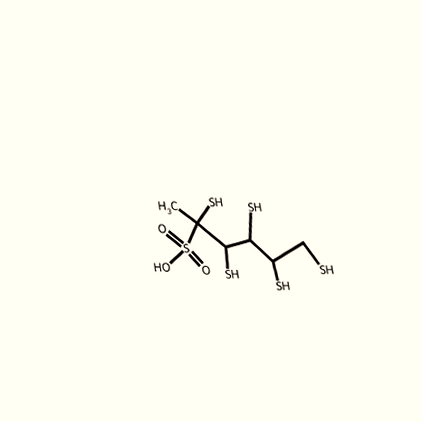 CC(S)(C(S)C(S)C(S)CS)S(=O)(=O)O